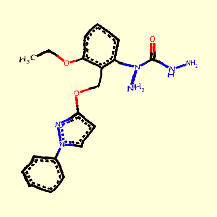 CCOc1cccc(N(N)C(=O)NN)c1COc1ccn(-c2ccccc2)n1